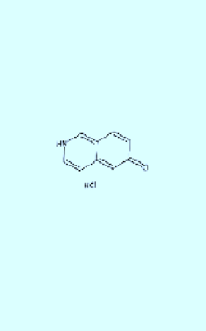 Cl.O=c1ccc2c[nH]ccc-2c1